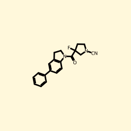 N#CN1CCC(F)(C(=O)N2CCc3cc(-c4ccccc4)ccc32)C1